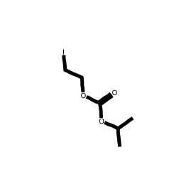 CC(C)OC(=O)OCCI